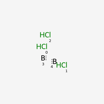 Cl.Cl.Cl.[B].[B]